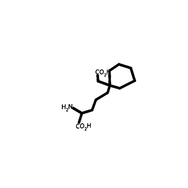 NC(CCCC1(CC(=O)O)CCCCC1)C(=O)O